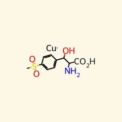 CS(=O)(=O)c1ccc(C(O)C(N)C(=O)O)cc1.[Cu]